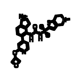 CN1CCc2sc(S(=O)(=O)NC(=O)Nc3c(-c4ccnc(OC5COC5)c4)ccc4c3CCC4)cc2C1.[Na]